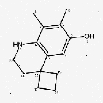 Cc1c(O)cc2c(c1C)NCCC21CCC1